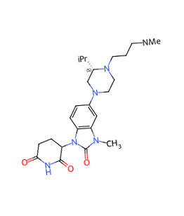 CNCCCN1CCN(c2ccc3c(c2)n(C)c(=O)n3C2CCC(=O)NC2=O)C[C@@H]1C(C)C